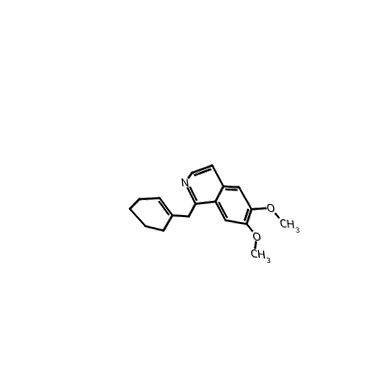 COc1cc2ccnc(CC3=CCCCC3)c2cc1OC